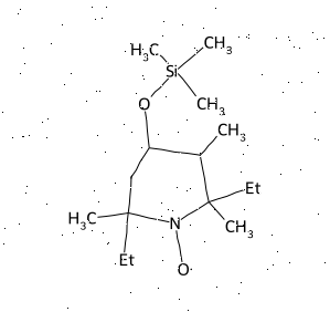 CCC1(C)CC(O[Si](C)(C)C)C(C)C(C)(CC)N1[O]